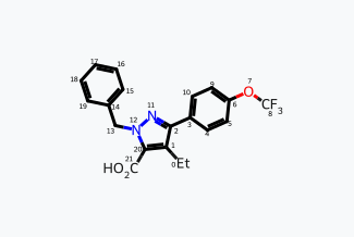 CCc1c(-c2ccc(OC(F)(F)F)cc2)nn(Cc2ccccc2)c1C(=O)O